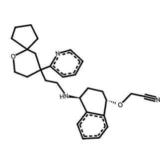 N#CCO[C@H]1CC[C@H](NCCC2(c3ccccn3)CCOC3(CCCC3)C2)c2ccccc21